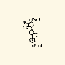 CCCCCc1ccc(-c2ccc(C34CCC(CCCCC)(CC3)CC4)c(Cl)c2)c(C#N)c1C#N